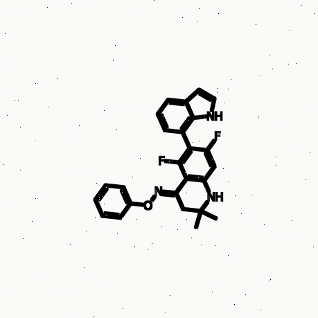 CC1(C)C/C(=N\Oc2ccccc2)c2c(cc(F)c(-c3cccc4cc[nH]c34)c2F)N1